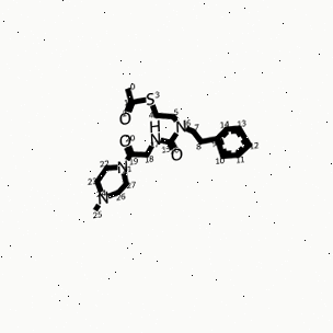 CC(=O)SCCN(CCc1ccccc1)C(=O)NCC(=O)N1CCN(C)CC1